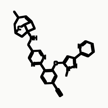 C#Cc1ccc(-c2ncc(CNC34CC5=CC(C)CC(CC53)C4)cn2)c(Oc2cc(-c3ccccn3)nn2C)c1